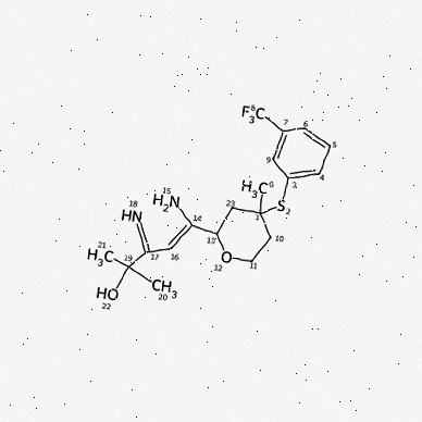 CC1(Sc2cccc(C(F)(F)F)c2)CCOC(/C(N)=C/C(=N)C(C)(C)O)C1